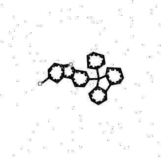 Clc1ccc2oc3cc(C4(c5ccccc5)c5ccccc5-c5ccccc54)ccc3c2c1